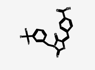 O=C(O)c1ccc(C=C2SC(=S)N(Cc3cccc(C(F)(F)F)c3)C2=O)cc1